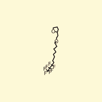 FC(F)(F)C(F)(F)C(F)(F)CCCCCCCCOCCC1CCCO1